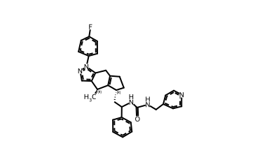 C[C@@H]1C2=C(CC[C@@H]2CC(NC(=O)NCc2ccncc2)c2ccccc2)Cc2c1cnn2-c1ccc(F)cc1